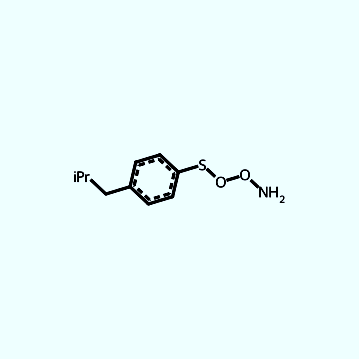 CC(C)Cc1ccc(SOON)cc1